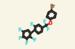 Fc1cc(C(F)(F)Oc2ccc(Br)cc2)ccc1-c1cc(F)c(F)c(F)c1F